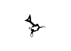 CC(=O)c1cc(Cl)nc(C2CC2)c1